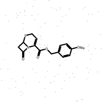 COc1ccc(COC(=O)C2=CCSC3CC(=O)N23)cc1